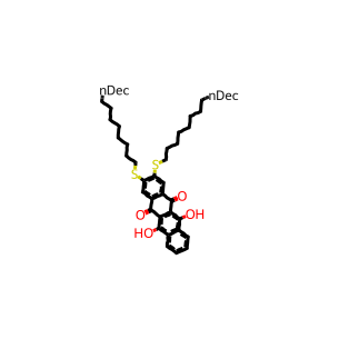 CCCCCCCCCCCCCCCCCCSc1cc2c(cc1SCCCCCCCCCCCCCCCCCC)C(=O)c1c(c(O)c3ccccc3c1O)C2=O